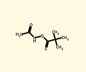 CC(C)(C)C(=S)ONC(N)=O